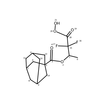 CC(OC(=O)C12CC3CC(CC(C3)C1)C2)C(F)(F)C(=O)OO